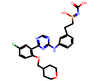 O=C(O)/N=S(\O)CCc1cccc(Nc2ncnc(-c3cc(F)ccc3OCC3CCOCC3)n2)c1